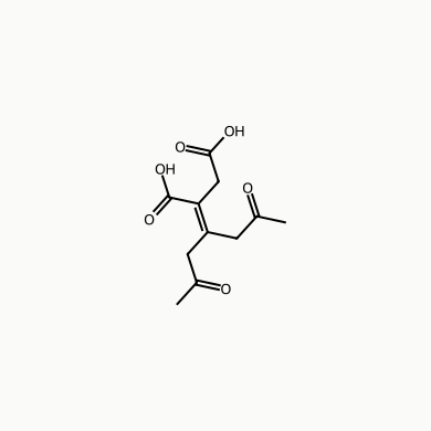 CC(=O)CC(CC(C)=O)=C(CC(=O)O)C(=O)O